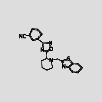 N#Cc1cccc(-c2noc(C3CCCCN3Cc3nc4ccccc4s3)n2)c1